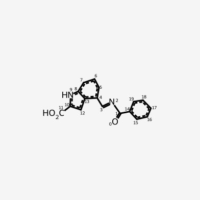 O=C(/N=C/c1cccc2[nH]c(C(=O)O)cc12)c1ccccc1